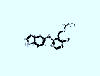 CO/N=C/c1c(Cl)ncnc1Oc1ccc2[nH]ccc2c1